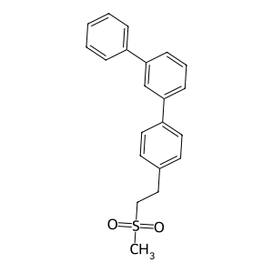 CS(=O)(=O)CCc1ccc(-c2cccc(-c3ccccc3)c2)cc1